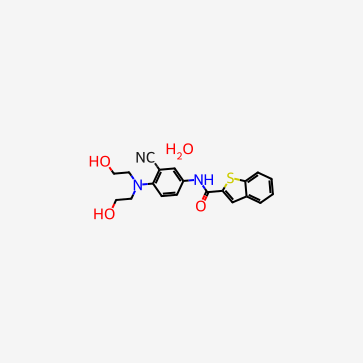 N#Cc1cc(NC(=O)c2cc3ccccc3s2)ccc1N(CCO)CCO.O